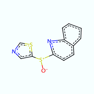 [O-][S+](c1ccc2ccccc2n1)c1cncs1